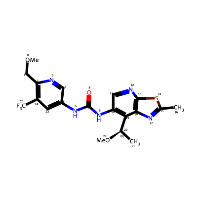 COCc1ncc(NC(=O)Nc2cnc3sc(C)nc3c2[C@@H](C)OC)cc1C(F)(F)F